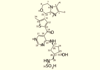 Cc1nc2n(c1C)CCO[C@H]2c1cc(C(=O)c2cncnc2N[C@H]2C[C@H](O)[C@@H]([CH]NS(=O)(=O)O)C2)sc1C